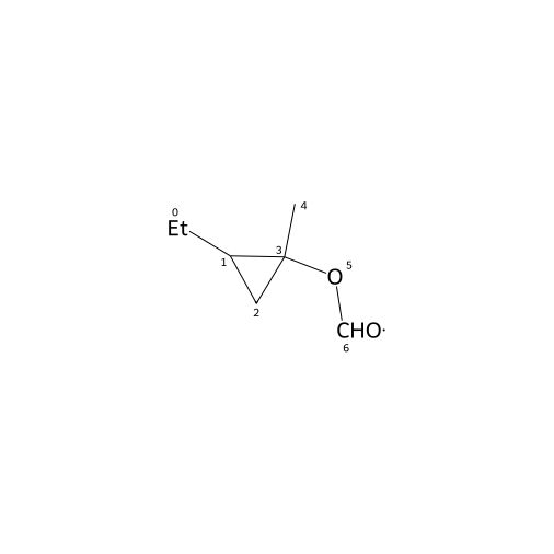 CCC1CC1(C)O[C]=O